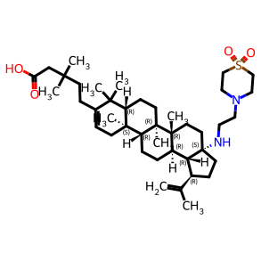 C=C(C)[C@@H]1CC[C@]2(NCCN3CCS(=O)(=O)CC3)CC[C@]3(C)[C@H](CC[C@@H]4[C@@]5(C)CC=C(CCC(C)(C)CC(=O)O)C(C)(C)[C@@H]5CC[C@]43C)[C@@H]12